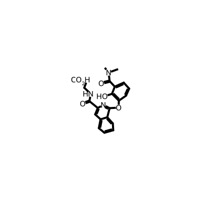 CN(C)C(=O)c1cccc(Oc2nc(C(=O)NCC(=O)O)cc3ccccc23)c1O